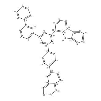 c1ccc(-c2cccc(-c3nc(-c4ccc(-c5ccc6ccccc6c5)cc4)nc(-c4cccc5c4oc4ccccc45)n3)c2)cc1